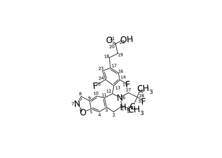 CC1Cc2cc3oncc3cc2C(c2c(F)cc(CCC(=O)O)cc2F)N1CC(C)(C)F